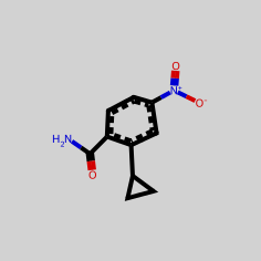 NC(=O)c1ccc([N+](=O)[O-])cc1C1CC1